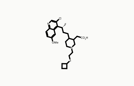 COc1ccc2ncc(Cl)c([C@H](F)CCC3CCN(CCSC4CCC4)CC3CC(=O)O)c2c1